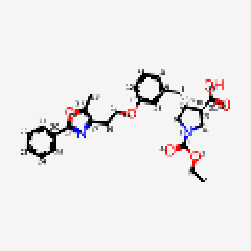 CCOC(=O)N1C[C@H](Cc2cccc(OCCc3nc(-c4ccccc4)oc3C)c2)[C@@H](C(=O)O)C1